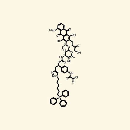 COc1cccc2c1C(=O)c1c(O)c([C@H](CO)OC3C[C@H](NC(=O)OC(Cc4cn(CCCCCC[PH](c5ccccc5)(c5ccccc5)c5ccccc5)nn4)c4ccc(NC(=O)C(Cl)Cl)cc4)[C@H](O)[C@H](C)O3)c(CCC(=O)CO)c(O)c1C2=O